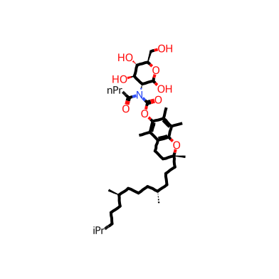 CCCC(=O)N(C(=O)Oc1c(C)c(C)c2c(c1C)CC[C@@](C)(CCC[C@H](C)CCC[C@H](C)CCCC(C)C)O2)[C@H]1C(O)O[C@H](CO)[C@@H](O)[C@@H]1O